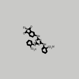 CCN1C(=O)c2ccc(Nc3nc(Nc4ccccc4S(=O)(=O)O)nc(Nc4ccccc4S(=O)(=O)O)n3)cc2C1=O